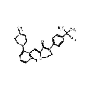 CN1CCN(c2cccc(F)c2/C=C2\OCCN(c3ccc(C(C)(C)C)cc3)C2=O)CC1